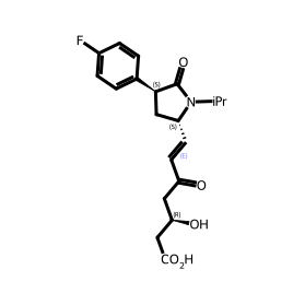 CC(C)N1C(=O)[C@H](c2ccc(F)cc2)C[C@H]1/C=C/C(=O)C[C@@H](O)CC(=O)O